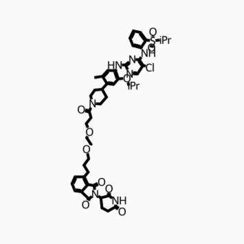 Cc1cc(Nc2ncc(Cl)c(Nc3ccccc3S(=O)(=O)C(C)C)n2)c(OC(C)C)cc1C1CCN(C(=O)CCOCCOCCCc2cccc3c2C(=O)N(C2CCC(=O)NC2=O)C3=O)CC1